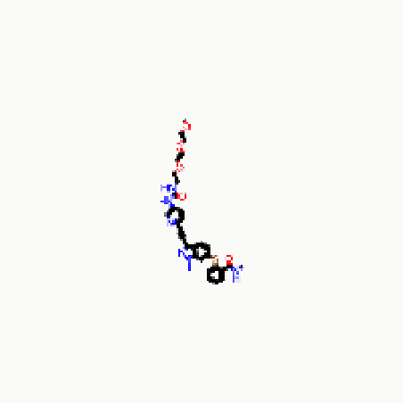 CNC(=O)c1ccccc1Sc1ccc2c(C#Cc3ccc(NC(=O)NCCOCCOCCOC)cn3)n[nH]c2c1